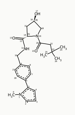 Cn1nccc1-c1ccc(CNC(=O)[C@@H]2C[C@@H](O)CN2C(=O)CC(C)(C)C)cc1